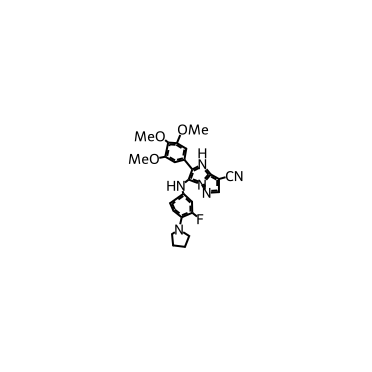 COc1cc(-c2[nH]c3c(C#N)cnn3c2Nc2ccc(N3CCCC3)c(F)c2)cc(OC)c1OC